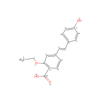 CCOc1cc(/C=C/c2ccc(O)cc2)ccc1C(=O)O